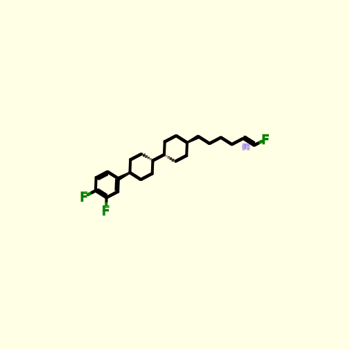 F/C=C/CCCC[C@H]1CC[C@H]([C@H]2CC[C@H](c3ccc(F)c(F)c3)CC2)CC1